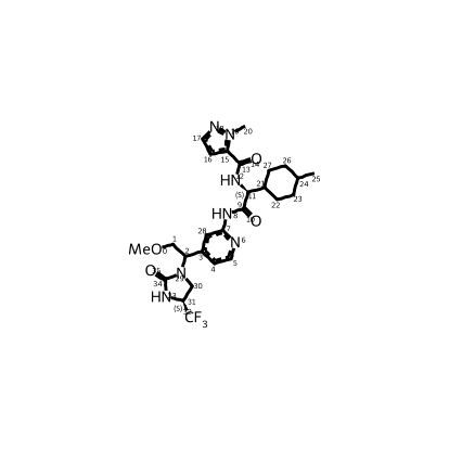 COCC(c1ccnc(NC(=O)[C@@H](NC(=O)c2ccnn2C)C2CCC(C)CC2)c1)N1C[C@@H](C(F)(F)F)NC1=O